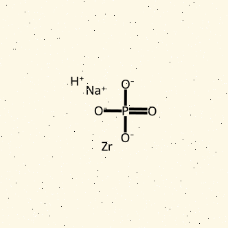 O=P([O-])([O-])[O-].[H+].[Na+].[Zr]